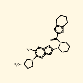 Cc1cn2nc([C@@H]3CCCCN3C(=O)c3cc4c(s3)CCCC4)cc2nc1N1CC[C@H](C)C1